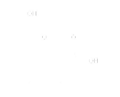 O=C(O)c1ccccc1OCO